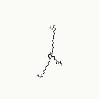 CCCCCCCCCCCCn1cc[n+](CCCCCCCC)c1CCCC